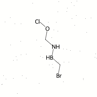 ClOCNBCBr